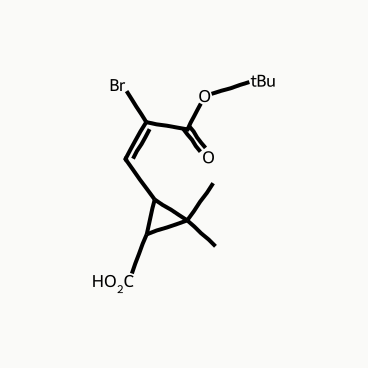 CC(C)(C)OC(=O)/C(Br)=C\C1C(C(=O)O)C1(C)C